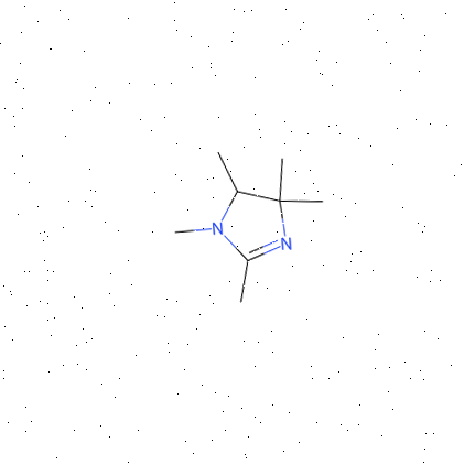 CC1=NC(C)(C)C(C)N1C